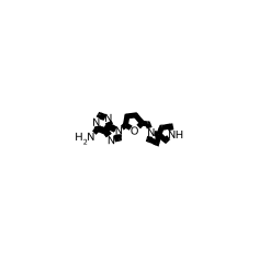 Nc1ncnc2c1ncn2C1CCC(CN2CCC23CCNC3)O1